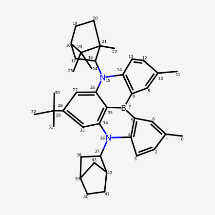 Cc1ccc2c(c1)B1c3cc(C)ccc3N(C3CC4CCC3(C)C4(C)C)c3cc(C(C)(C)C)cc(c31)N2C1CC2CCC1C2